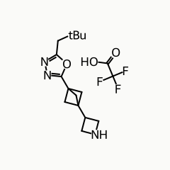 CC(C)(C)Cc1nnc(C23CC(C4CNC4)(C2)C3)o1.O=C(O)C(F)(F)F